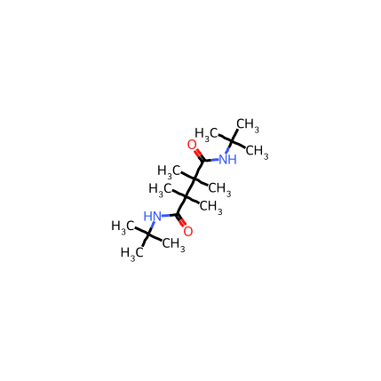 CC(C)(C)NC(=O)C(C)(C)C(C)(C)C(=O)NC(C)(C)C